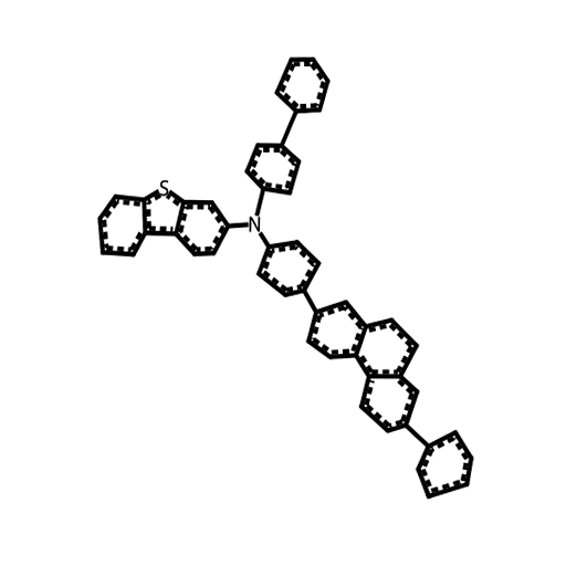 c1ccc(-c2ccc(N(c3ccc(-c4ccc5c(ccc6cc(-c7ccccc7)ccc65)c4)cc3)c3ccc4c(c3)sc3ccccc34)cc2)cc1